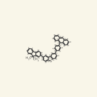 CC1(C)c2ccccc2-c2ccc(-c3ccc4sc5ccc(-c6ccc(-c7c8ccccc8cc8ccccc78)cc6)cc5c4c3)cc21